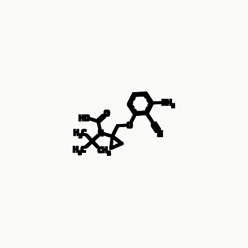 CC(C)(C)N(C(=O)O)C1(COc2cccc(N)c2C#N)CC1